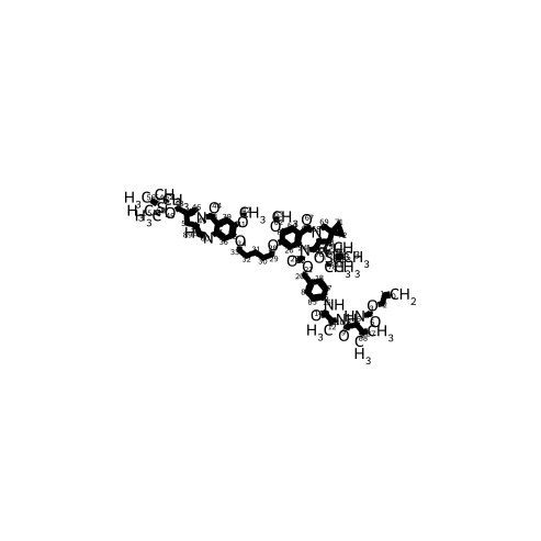 C=CCOC(=O)NC(C(=O)NC(C)C(=O)Nc1ccc(COC(=O)N2c3cc(OCCCCCOc4cc5c(cc4OC)C(=O)N4C=C(CO[Si](C)(C)C(C)(C)C)C[C@H]4C=N5)c(OC)cc3C(=O)N3CC4(CC4)C[C@H]3C2O[Si](C)(C)C(C)(C)C)cc1)C(C)C